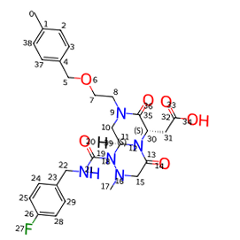 Cc1ccc(COCCN2C[C@H]3N(C(=O)CN(C)N3C(=O)NCc3ccc(F)cc3)[C@@H](CC(=O)O)C2=O)cc1